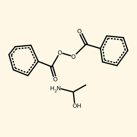 CC(N)O.O=C(OOC(=O)c1ccccc1)c1ccccc1